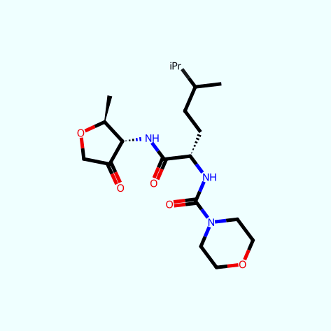 CC(C)C(C)CC[C@H](NC(=O)N1CCOCC1)C(=O)N[C@@H]1C(=O)CO[C@H]1C